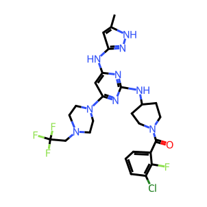 Cc1cc(Nc2cc(N3CCN(CC(F)(F)F)CC3)nc(NC3CCN(C(=O)c4cccc(Cl)c4F)CC3)n2)n[nH]1